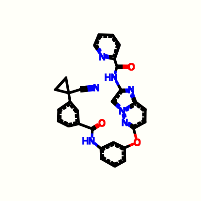 N#CC1(c2cccc(C(=O)Nc3cccc(Oc4ccc5nc(NC(=O)c6ccccn6)cn5n4)c3)c2)CC1